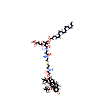 CC/C=C\C/C=C\C/C=C\C/C=C\C/C=C\C/C=C\CC(=O)OCC(C)(C)[C@@H](OC(=O)/C=C/C(=O)OC)C(=O)NCCC(=O)NCCSSCCNC(=O)COCC(=O)[C@@]1(O[Si](C)(C)C(C)(C)C)CC[C@H]2[C@@H]3C[C@H](C)C4=CC(=O)C=C[C@]4(C)[C@H]3[C@@H](O[Si](C)(C)C(C)(C)C)C[C@@]21C